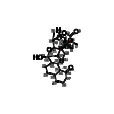 C[C@@H]1C(=O)O[C@@H]2C[C@@]1(C)C1C(=O)[C@@]3(O)O[C@@]14[C@@](O)(CCC1C3CC=C3C=CCC(=O)[C@@]31C)C(=O)O[C@@]24C